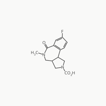 CN1CC2CN(C(=O)O)CC2c2ccc(F)cc2C1=O